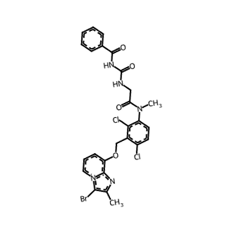 Cc1nc2c(OCc3c(Cl)ccc(N(C)C(=O)CNC(=O)NC(=O)c4ccccc4)c3Cl)cccn2c1Br